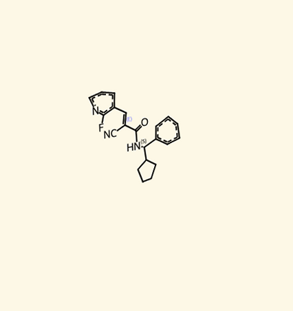 N#C/C(=C\c1cccnc1F)C(=O)N[C@H](c1ccccc1)C1CCCC1